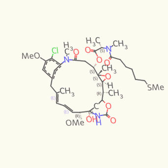 COc1cc2cc(c1Cl)N(C)C(=O)C[C@H](OC(=O)[C@H](C)N(C)C(=O)CCCCCSC)[C@]1(C)O[C@H]1[C@H](C)C1C[C@@](O)(NC(=O)O1)[C@H](OC)/C=C/C=C(\C)C2